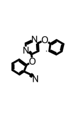 N#Cc1ccccc1Oc1cc(Oc2[c]cccc2)ncn1